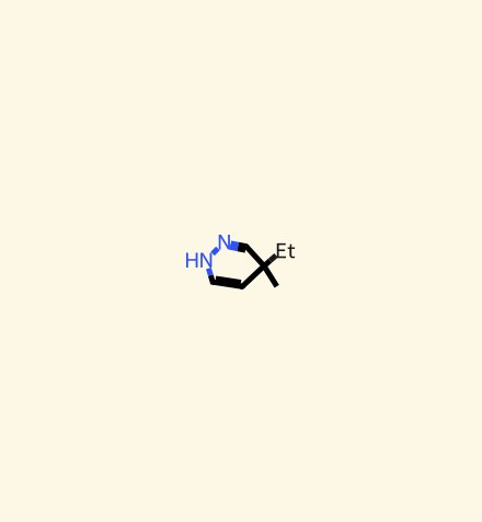 CCC1(C)C=CNN=C1